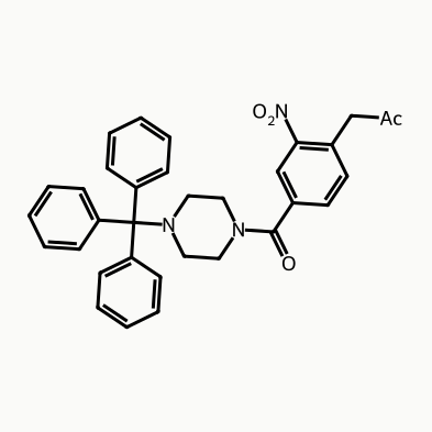 CC(=O)Cc1ccc(C(=O)N2CCN(C(c3ccccc3)(c3ccccc3)c3ccccc3)CC2)cc1[N+](=O)[O-]